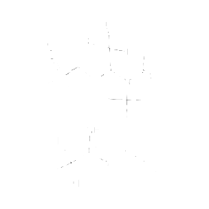 CC(C)(C)N(C(=O)O)C(CCS(C)(=O)=O)C(F)(F)F.CS(=O)(=O)CCC(N)C(F)(F)F